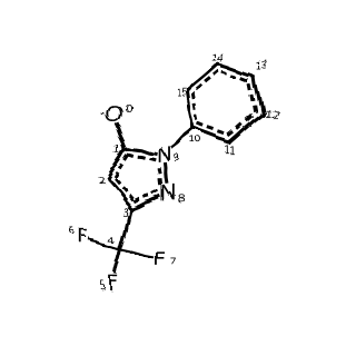 [O]c1cc(C(F)(F)F)nn1-c1ccccc1